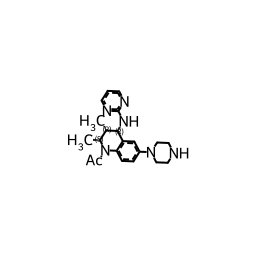 CC(=O)N1c2ccc(N3CCNCC3)cc2[C@H](Nc2ncccn2)[C@@H](C)[C@@H]1C